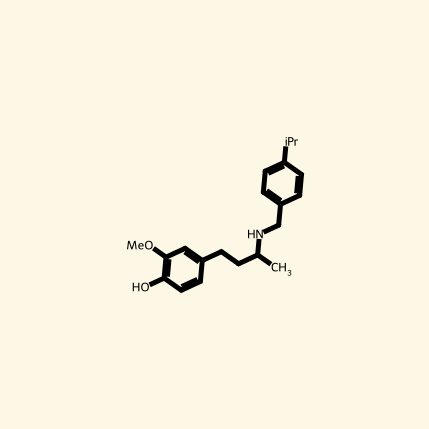 COc1cc(CCC(C)NCc2ccc(C(C)C)cc2)ccc1O